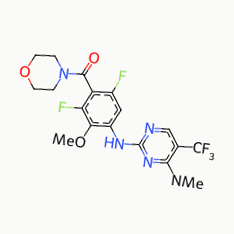 CNc1nc(Nc2cc(F)c(C(=O)N3CCOCC3)c(F)c2OC)ncc1C(F)(F)F